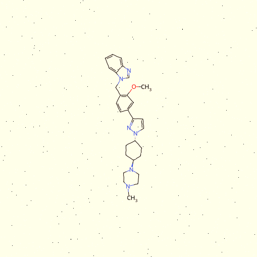 COc1cc(-c2ccn([C@H]3CC[C@H](N4CCN(C)CC4)CC3)n2)ccc1Cn1cnc2ccccc21